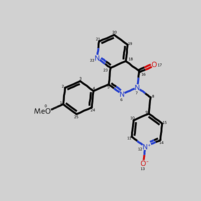 COc1ccc(-c2nn(Cc3cc[n+]([O-])cc3)c(=O)c3cccnc23)cc1